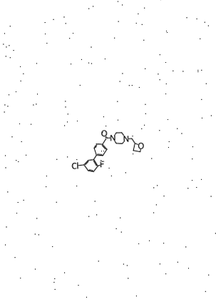 O=C(c1ccc(-c2cc(Cl)ccc2F)cc1)N1CCN(CC2CCO2)CC1